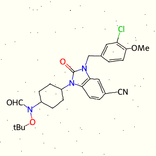 COc1ccc(Cn2c(=O)n(C3CCC(N(C=O)OC(C)(C)C)CC3)c3ccc(C#N)cc32)cc1Cl